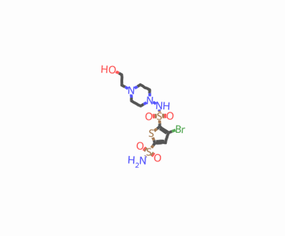 NS(=O)(=O)c1cc(Br)c(S(=O)(=O)NN2CCN(CCO)CC2)s1